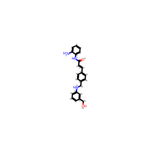 Nc1ccccc1NC(=O)/C=C/c1ccc(CNc2cccc(CO)c2)cc1